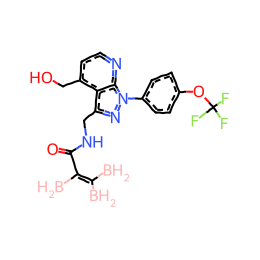 BC(B)=C(B)C(=O)NCc1nn(-c2ccc(OC(F)(F)F)cc2)c2nccc(CO)c12